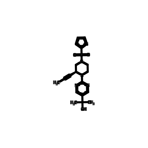 CC#C[C@H]1CN(S(=O)(=O)c2cccs2)CCN1c1ncc(C(C)(C)O)cn1